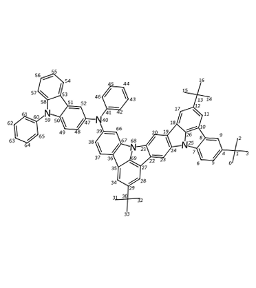 CC(C)(C)c1ccc2c(c1)c1cc(C(C)(C)C)cc3c4cc5c(cc4n2c13)c1cc(C(C)(C)C)cc2c3ccc(N(c4ccccc4)c4ccc6c(c4)c4ccccc4n6-c4ccccc4)cc3n5c21